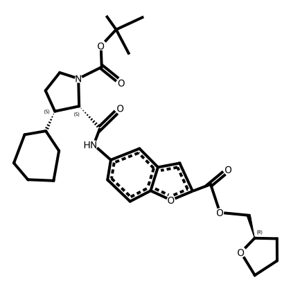 CC(C)(C)OC(=O)N1CC[C@@H](C2CCCCC2)[C@H]1C(=O)Nc1ccc2oc(C(=O)OC[C@H]3CCCO3)cc2c1